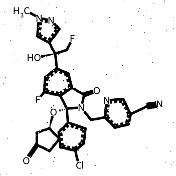 Cn1cc([C@](O)(CF)c2cc(F)c3c(c2)C(=O)N(Cc2ccc(C#N)cn2)[C@@]3(O[C@H]2CCC(=O)C2)c2ccc(Cl)cc2)cn1